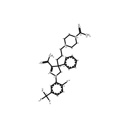 CC(=O)C1=NN(c2cc(C(F)(F)F)ccc2F)CC1(CCCN1CCN(C(C)=O)CC1)c1ccccc1